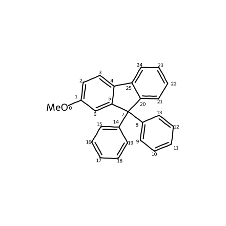 COc1ccc2c(c1)C(c1ccccc1)(c1ccccc1)c1ccccc1-2